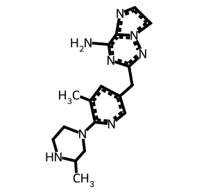 Cc1cc(Cc2nc(N)c3nccn3n2)cnc1N1CCNC(C)C1